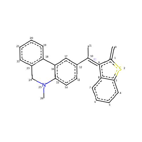 C=c1sc2ccccc2/c1=C(/C)c1ccc2c(c1)-c1ccccc1CN2C